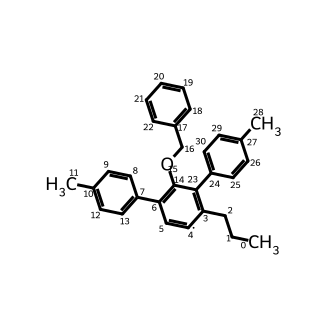 CCCc1[c]cc(-c2ccc(C)cc2)c(OCc2ccccc2)c1-c1ccc(C)cc1